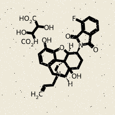 C=CCN1CC[C@]23c4c5ccc(O)c4O[C@H]2[C@@H](N2C(=O)c4cccc(F)c4C2=O)CCC3(O)[C@H]1C5.O=C(O)C(O)C(O)C(=O)O